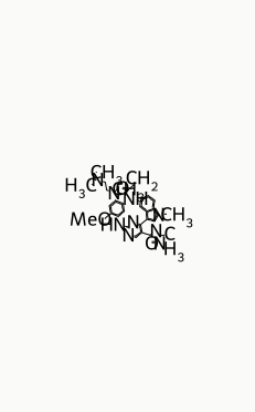 C=CC(=O)Nc1cc(Nc2ncc(-c3nc(C)no3)c(-c3cn(C)c4ccccc34)n2)c(OC)cc1N(C)CCN(C)C